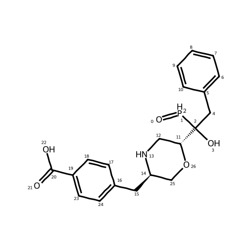 O=[PH2]C(O)(Cc1ccccc1)[C@H]1CN[C@H](Cc2ccc(C(=O)O)cc2)CO1